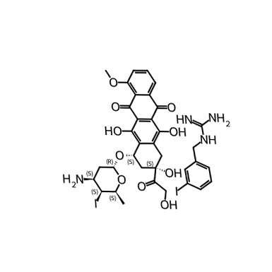 COc1cccc2c1C(=O)c1c(O)c3c(c(O)c1C2=O)C[C@@](O)(C(=O)CO)C[C@@H]3O[C@H]1C[C@H](N)[C@H](I)[C@H](C)O1.N=C(N)NCc1cccc(I)c1